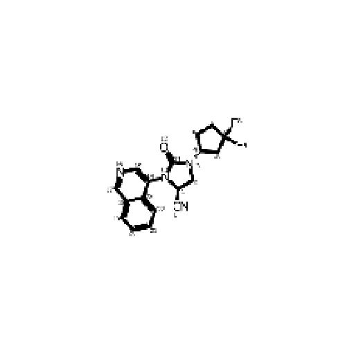 N#C[C@@H]1CN([C@@H]2CCC(F)(F)C2)C(=O)N1c1cncc2ccccc12